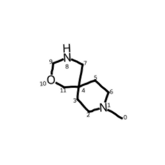 CN1CCC2(CC1)CNCOC2